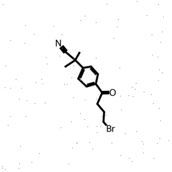 CC(C)(C#N)c1ccc(C(=O)CCCBr)cc1